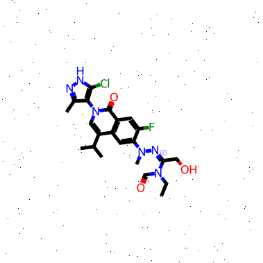 CCN(C=O)/C(CO)=N\N(C)c1cc2c(C(C)C)cn(-c3c(C)n[nH]c3Cl)c(=O)c2cc1F